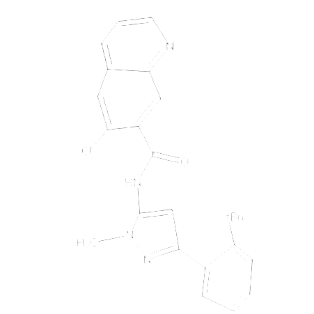 Cn1nc(-c2ccccc2C(C)(C)C)cc1NC(=O)c1cc2ncccc2cc1Cl